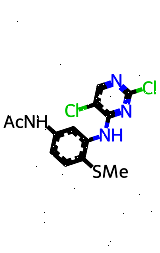 CSc1ccc(NC(C)=O)cc1Nc1nc(Cl)ncc1Cl